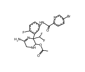 CC(=O)OC1NCC(N)=NC1(c1cc(NC(=O)c2ccc(Br)cn2)ccc1F)C(F)F